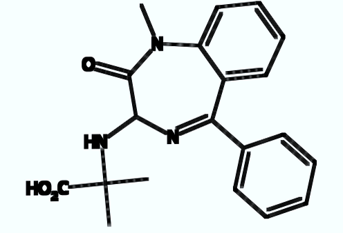 CN1C(=O)C(NC(C)(C)C(=O)O)N=C(c2ccccc2)c2ccccc21